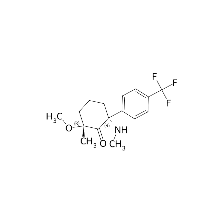 CN[C@@]1(c2ccc(C(F)(F)F)cc2)CCC[C@@](C)(OC)C1=O